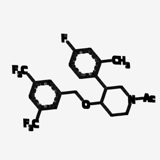 CC(=O)N1CCC(OCc2cc(C(F)(F)F)cc(C(F)(F)F)c2)C(c2ccc(F)cc2C)C1